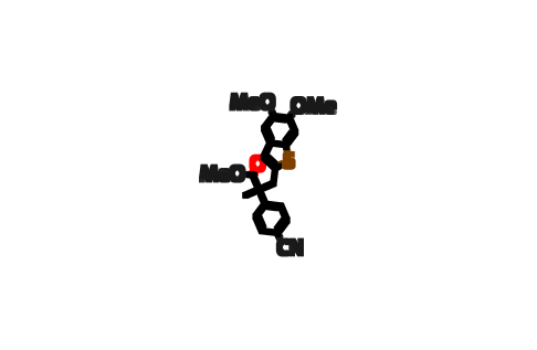 COC(=O)C(C)(Cc1cc2cc(OC)c(OC)cc2s1)c1ccc(C#N)cc1